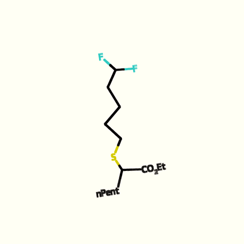 CCCCCC(SCCCCC(F)F)C(=O)OCC